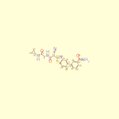 N#CC(C(=O)NCC(=O)NC1CC1)c1nc2cc(-c3cccc(C(N)=O)c3)c(F)cc2s1